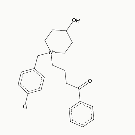 O=C(CCC[N+]1(Cc2ccc(Cl)cc2)CCC(O)CC1)c1ccccc1